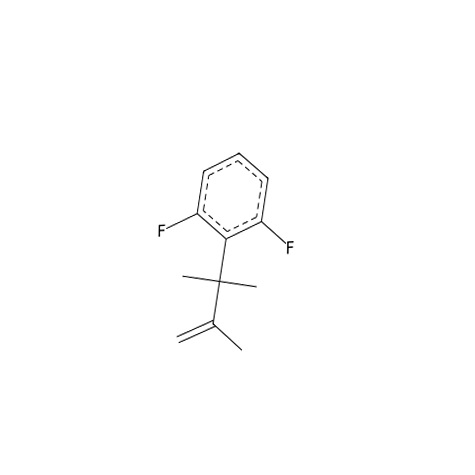 C=C(C)C(C)(C)c1c(F)cccc1F